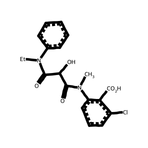 CCN(C(=O)C(O)C(=O)N(C)c1cccc(Cl)c1C(=O)O)c1ccccc1